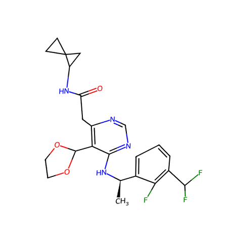 C[C@@H](Nc1ncnc(CC(=O)NC2CC23CC3)c1C1OCCO1)c1cccc(C(F)F)c1F